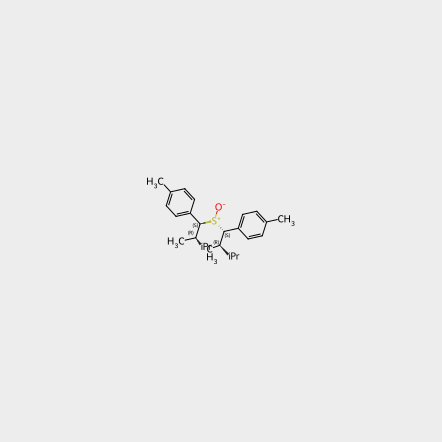 Cc1ccc([C@H]([C@H](C)C(C)C)[S+]([O-])[C@H](c2ccc(C)cc2)[C@H](C)C(C)C)cc1